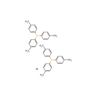 Cc1ccc(P(c2ccc(C)cc2)c2ccc(C)cc2)cc1.Cc1ccc(P(c2ccc(C)cc2)c2ccc(C)cc2)cc1.[Ni]